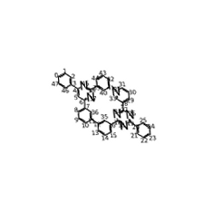 c1ccc(-c2cc(-c3cccc(-c4cccc(-c5nc(-c6ccccc6)nc(-c6cccnc6)n5)c4)c3)nc(-c3ccccc3)n2)cc1